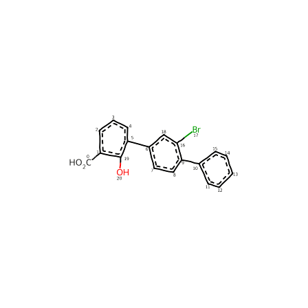 O=C(O)c1cccc(-c2ccc(-c3ccccc3)c(Br)c2)c1O